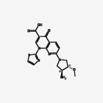 CO[C@H]1CN(c2ccc3c(=O)c(C(=O)O)cn(-c4nccs4)c3n2)C[C@@H]1N